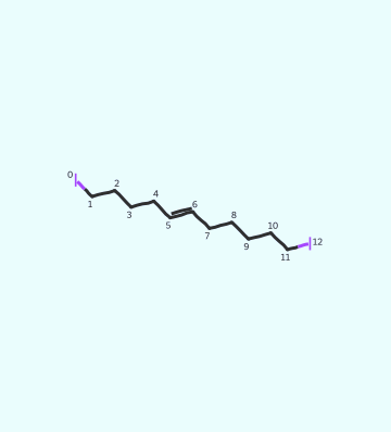 ICCCCC=CCCCCCI